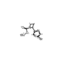 CC(C)(C)OC(=O)N1CCC1c1ccc(Br)cn1